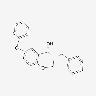 O[C@H]1c2cc(Oc3ccccn3)ccc2OC[C@H]1Cc1cccnc1